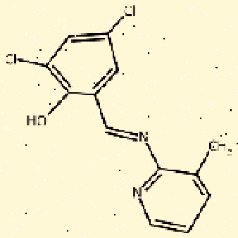 Cc1cccnc1N=Cc1cc(Cl)cc(Cl)c1O